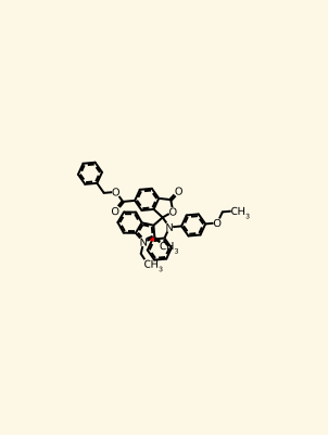 CCOc1ccc(N(c2ccccc2)C2(c3c(C)n(CC)c4ccccc34)OC(=O)c3ccc(C(=O)OCc4ccccc4)cc32)cc1